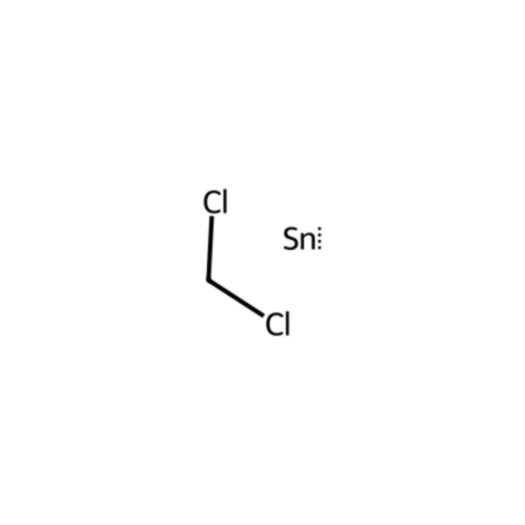 ClCCl.[Sn]